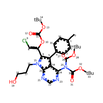 Cc1ccc(-c2c(/C(=C/Cl)OC(=O)OC(C)(C)C)n(CCCO)c3ncnc(N(C(=O)OC(C)(C)C)C(=O)OC(C)(C)C)c23)cc1